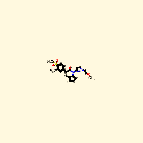 COCCn1ccc(NC(=O)[C@H](CC2CCCC2)c2ccc(S(C)(=O)=O)c(C)c2)n1